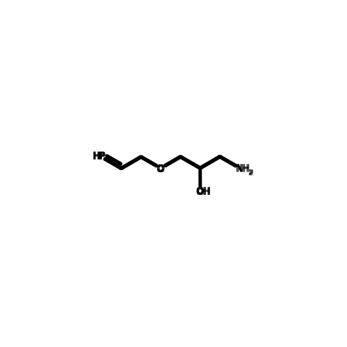 NCC(O)COCC=P